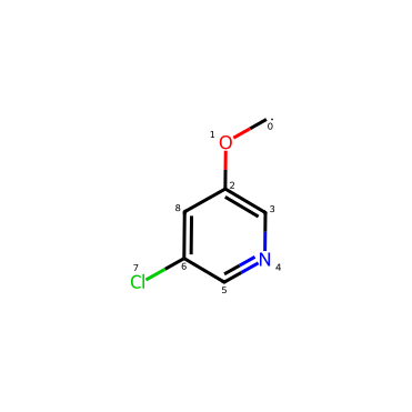 [CH2]Oc1cncc(Cl)c1